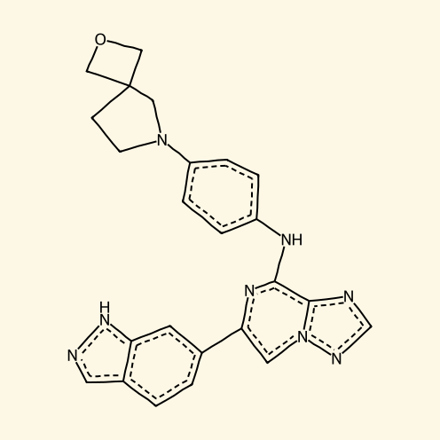 c1nc2c(Nc3ccc(N4CCC5(COC5)C4)cc3)nc(-c3ccc4cn[nH]c4c3)cn2n1